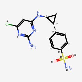 Nc1nc(Cl)cc(N[C@H]2C[C@@H]2c2ccc(S(N)(=O)=O)cc2)n1